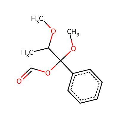 COC(C)C(OC)(O[C]=O)c1ccccc1